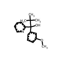 COc1cccc(C(O)(c2ccccn2)C(C)(C)C)c1